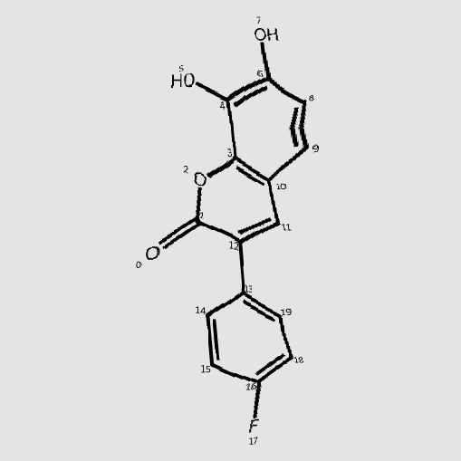 O=c1oc2c(O)c(O)ccc2cc1-c1ccc(F)cc1